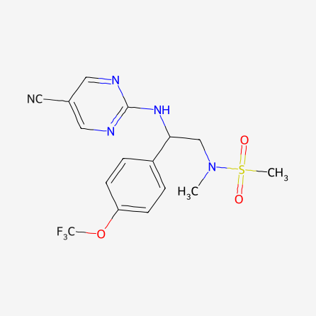 CN(CC(Nc1ncc(C#N)cn1)c1ccc(OC(F)(F)F)cc1)S(C)(=O)=O